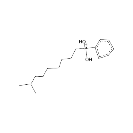 CC(C)CCCCCCC[PH](O)(O)c1ccccc1